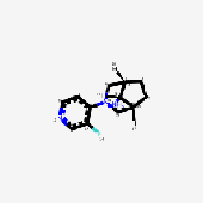 N[C@H]1[C@@H]2CC[C@H]1CN(c1ccncc1F)C2